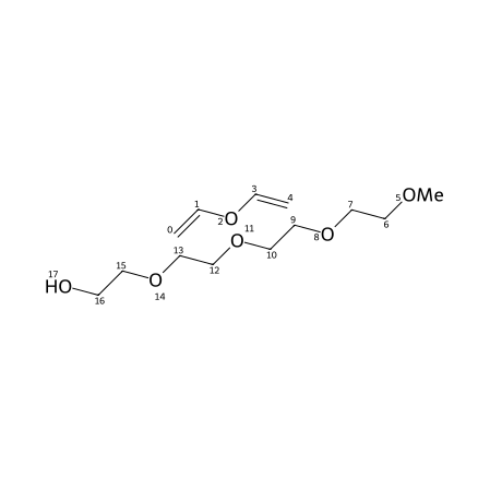 C=COC=C.COCCOCCOCCOCCO